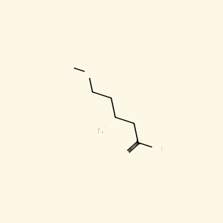 CSCC[C@@H](N)CC(=O)O